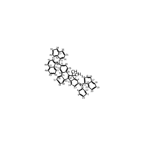 CC1(C)c2cc(N(c3ccccc3)c3cccc4ccccc34)ccc2-c2c1c1ccc(N(c3cccc4ccccc34)c3cccc4ccccc34)cc1c1ccccc21